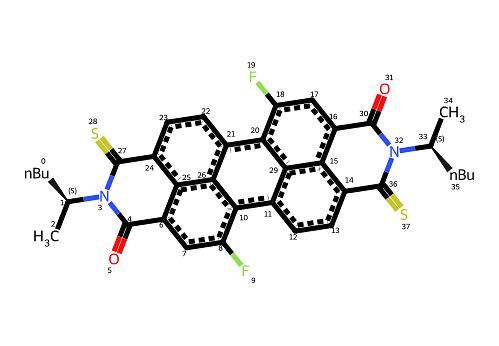 CCCC[C@H](C)N1C(=O)c2cc(F)c3c4ccc5c6c(cc(F)c(c7ccc(c2c73)C1=S)c64)C(=O)N([C@@H](C)CCCC)C5=S